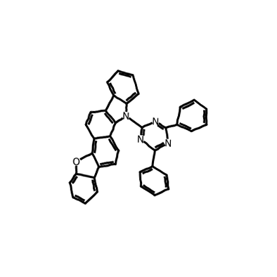 c1ccc(-c2nc(-c3ccccc3)nc(-n3c4ccccc4c4ccc5c(ccc6c7ccccc7oc65)c43)n2)cc1